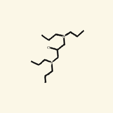 CCCN(CCC)CC(Cl)CN(CCC)CCC